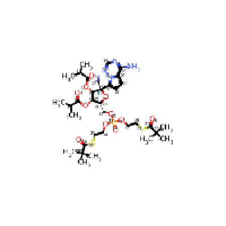 CC(C)C(=O)O[C@H]1[C@@H](OC(=O)C(C)C)[C@](C#N)(c2ccc3c(N)ncnn23)O[C@@H]1COP(=O)(OCCSC(=O)C(C)(C)C)OCCSC(=O)C(C)(C)C